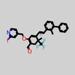 Cc1c(/C=C/C2=CC(OCc3ccnc(I)c3)=C(C=O)CC2(C)C(F)(F)F)cccc1-c1ccccc1